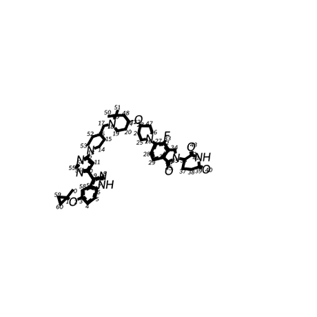 CC1(Oc2ccc3[nH]nc(-c4cc(N5CCC(CN6CC[C@@H](OC7CCN(c8ccc9c(c8F)CN(C8CCC(=O)NC8=O)C9=O)CC7)CC6(C)C)CC5)ncn4)c3c2)CC1